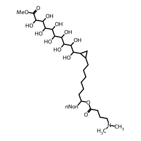 CCCCCCCCCC(CCCCCCC1CC1C(O)C(O)C(O)C(O)C(O)C(O)C(O)C(O)C(O)C(=O)OC)OC(=O)CCCN(C)C